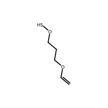 C=COCCCOS